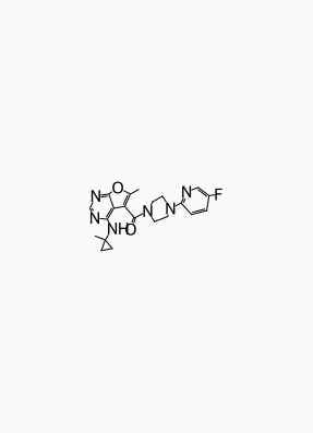 Cc1oc2ncnc(NC3(C)CC3)c2c1C(=O)N1CCN(c2ccc(F)cn2)CC1